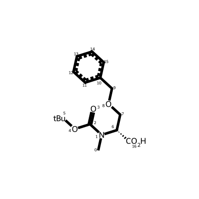 CN(C(=O)OC(C)(C)C)[C@H](COCc1ccccc1)C(=O)O